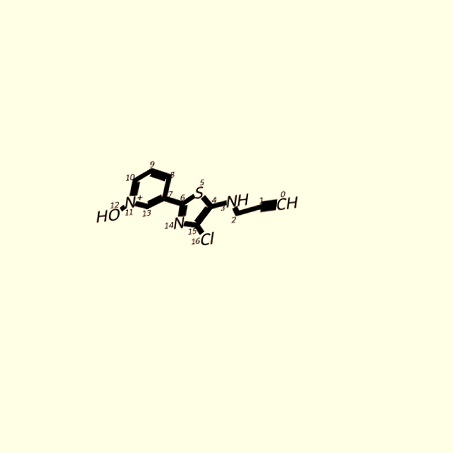 C#CCNc1sc(-c2ccc[n+](O)c2)nc1Cl